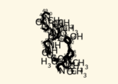 CCn1c(-c2cccnc2[C@H](C)OC)c2c3cc(ccc31)-c1cc(O)cc(c1)C[C@H](NC(=O)[C@H](C(C)C)N(C)C(=O)[C@H]1CCN(C(=O)C3CCCN3C)C1)C(=O)N1CCC[C@@](O)(N1)C(=O)OCC(C)(C)C2